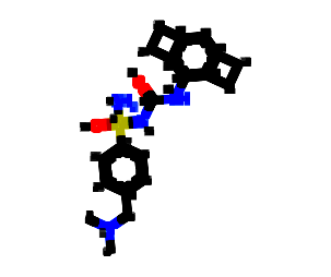 CN(C)Cc1ccc(S(N)(=O)=NC(=O)Nc2c3c(cc4c2CC4)CC3)cc1